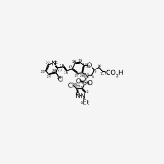 CCn1cc(S(=O)(=O)N2C[C@H](CCC(=O)O)Oc3ccc(/C=C/c4ncccc4Cl)cc32)c(Cl)n1